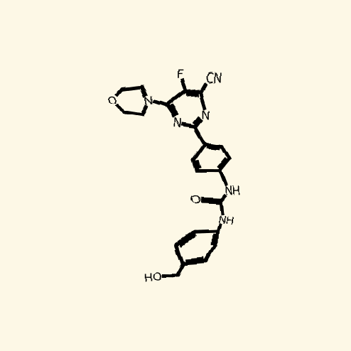 N#Cc1nc(-c2ccc(NC(=O)Nc3ccc(CO)cc3)cc2)nc(N2CCOCC2)c1F